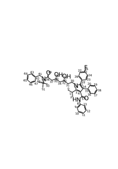 CC(C)c1c(C(=O)Nc2ccccc2)c(-c2ccccc2)c(-c2ccc(F)cc2)n1CC[C@@H](O)C[C@@H](O)CC(=O)N(Cc1ccccc1)C(C)(C)C